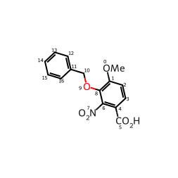 COc1ccc(C(=O)O)c([N+](=O)[O-])c1OCc1ccccc1